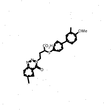 COc1ccc(-c2ccc(SC(CCn3nnc4ccc(C)cc4c3=O)C(=O)O)cc2)cc1C